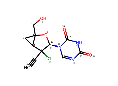 C#CC1(Cl)C2CC2(CO)O[C@H]1n1cnc(=O)[nH]c1=O